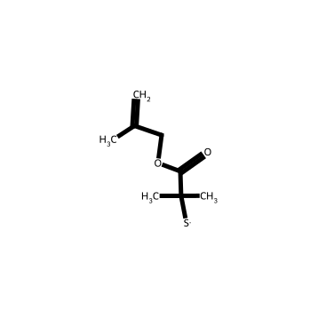 C=C(C)COC(=O)C(C)(C)[S]